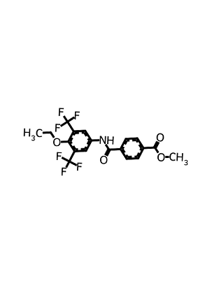 CCOc1c(C(F)(F)F)cc(NC(=O)c2ccc(C(=O)OC)cc2)cc1C(F)(F)F